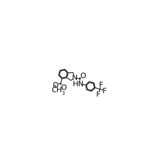 COC(=O)c1cccc2c1CN(C(=O)Nc1ccc(C(F)(F)F)cc1)C2